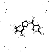 CC1(C)C[C@@]2(C=C(N)C1=O)CCN(C(=O)c1cnc(C(F)(F)F)nc1)C2